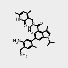 Cc1cc(C)c(CN(N)C(=O)c2cc(-c3cc(N)c(CN)cc3C)cc3c2c(C)cn3C(C)C)c(=O)[nH]1